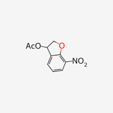 CC(=O)OC1COc2c1cccc2[N+](=O)[O-]